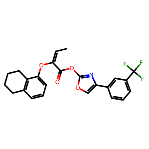 CC=C(Oc1cccc2c1CCCC2)C(=O)Oc1nc(-c2cccc(C(F)(F)F)c2)co1